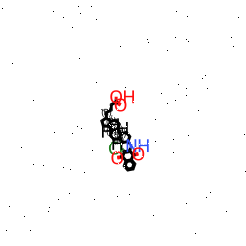 C[C@H](CCC(=O)O)C1CC[C@H]2[C@@H]3CC[C@@H]4CC(NC5=C(Cl)C(=O)c6ccccc6C5=O)CC[C@]4(C)[C@H]3CC[C@]12C